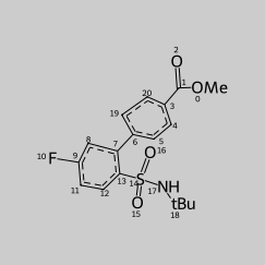 COC(=O)c1ccc(-c2cc(F)ccc2S(=O)(=O)NC(C)(C)C)cc1